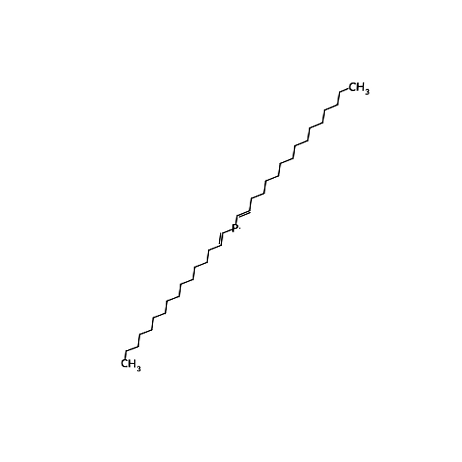 CCCCCCCCCCCCCCC=C[P]C=CCCCCCCCCCCCCCC